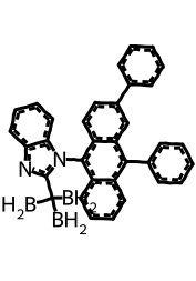 BC(B)(B)c1nc2ccccc2n1-c1c2ccccc2c(-c2ccccc2)c2cc(-c3ccccc3)ccc12